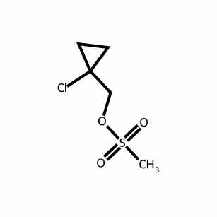 CS(=O)(=O)OCC1(Cl)CC1